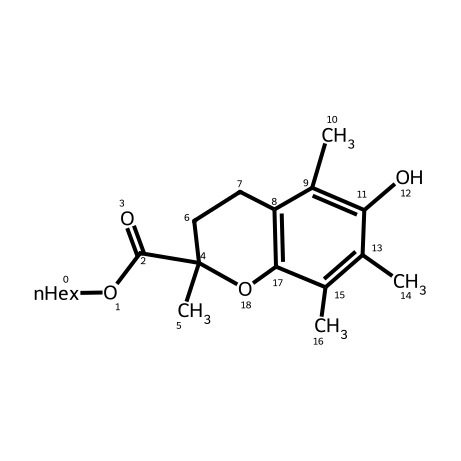 CCCCCCOC(=O)C1(C)CCc2c(C)c(O)c(C)c(C)c2O1